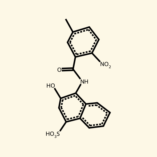 Cc1ccc([N+](=O)[O-])c(C(=O)Nc2c(O)cc(S(=O)(=O)O)c3ccccc23)c1